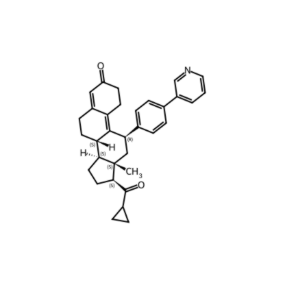 C[C@]12C[C@H](c3ccc(-c4cccnc4)cc3)C3=C4CCC(=O)C=C4CC[C@H]3[C@@H]1CC[C@@H]2C(=O)C1CC1